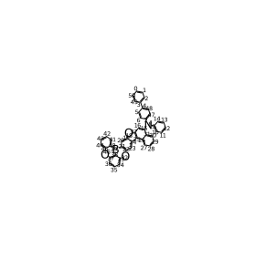 c1ccc(-c2ccc(N(c3ccccc3)c3cc4oc5cc6c(cc5c4c4ccccc34)Oc3cccc4c3B6c3ccccc3O4)cc2)cc1